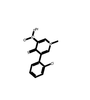 CCC[S+]([O-])c1cn(C)cc(-c2ccccc2Cl)c1=S